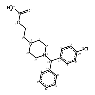 CC(=O)OCCN1CCN(C(c2ccccc2)c2ccc(Cl)cc2)CC1